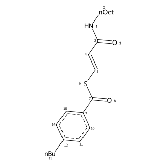 CCCCCCCCNC(=O)C=CSC(=O)c1ccc(CCCC)cc1